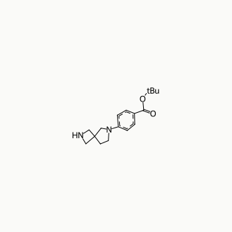 CC(C)(C)OC(=O)c1ccc(N2CCC3(CNC3)C2)cc1